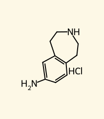 Cl.Nc1ccc2c(c1)CCNCC2